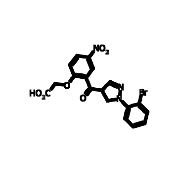 O=C(O)COc1ccc([N+](=O)[O-])cc1C(=O)C1C=NN(c2ccccc2Br)C1